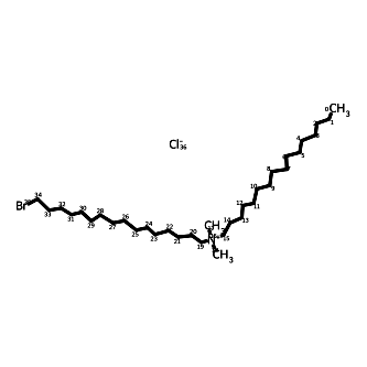 CCCCCCCCCCCCCCCC[N+](C)(C)CCCCCCCCCCCCCCCCBr.[Cl-]